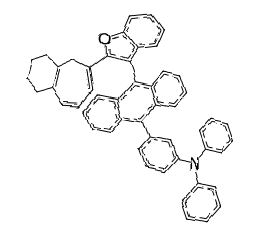 C1=CC2=C(CCCC2)CC(c2oc3ccccc3c2-c2c3ccccc3c(-c3cccc(N(c4ccccc4)c4ccccc4)c3)c3ccccc23)=C1